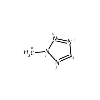 Cn1n[c]nn1